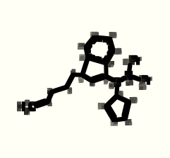 C=CCCCC1C=C(B(C2C=CC=C2)N(C(C)C)C(C)C)c2ccccc21